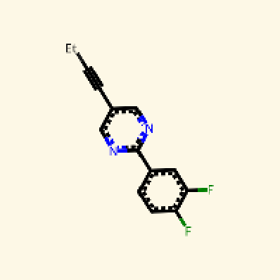 CCC#Cc1cnc(-c2ccc(F)c(F)c2)nc1